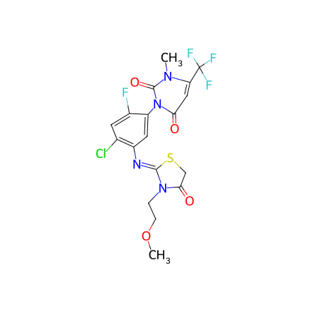 COCCN1C(=O)CS/C1=N\c1cc(-n2c(=O)cc(C(F)(F)F)n(C)c2=O)c(F)cc1Cl